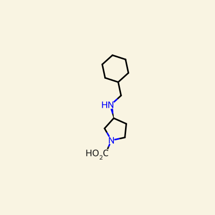 O=C(O)N1CC[C@H](NCC2CCCCC2)C1